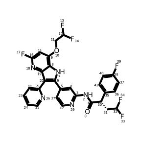 O=C(Nc1cc(-c2[nH]c3c(OCC(F)F)cc(F)nc3c2-c2ccccn2)ccn1)[C@@H](CC(F)F)c1ccc(F)cc1